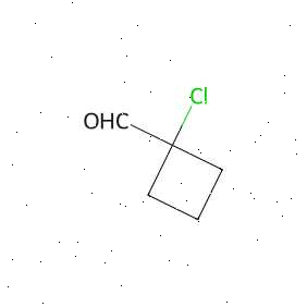 O=CC1(Cl)CCC1